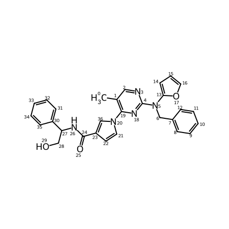 Cc1cnc(N(Cc2ccccc2)c2ccco2)nc1-n1ccc(C(=O)NC(CO)c2ccccc2)c1